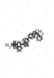 CC(C)(CN1CCCCC1)Oc1ccc(-c2cnc3c(-c4ccc(S(N)(=O)=O)c5ccccc45)cnn3c2)cn1